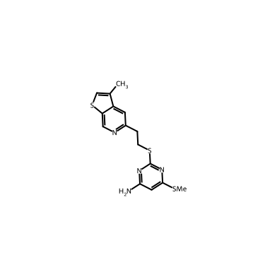 CSc1cc(N)nc(SCCc2cc3c(C)csc3cn2)n1